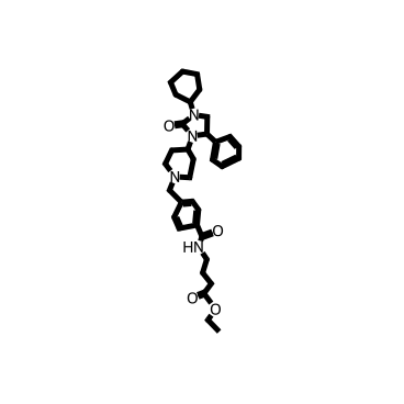 CCOC(=O)CCCNC(=O)c1ccc(CN2CCC(N3C(=O)N(C4CCCCC4)CC3c3ccccc3)CC2)cc1